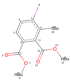 CCCCOC(=O)c1ccc(I)c(C(C)(C)C)c1C(=O)OCCCC